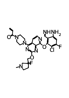 C=CC(=O)N1CCN(c2nc(OC[C@]3(F)CCN(C)C3)nc3c(Oc4c(Cl)c(F)cc(N)c4C=N)nccc23)CC1